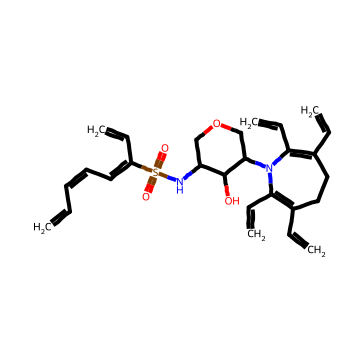 C=C/C=C\C=C(/C=C)S(=O)(=O)NC1COCC(N2C(C=C)=C(C=C)CCC(C=C)=C2C=C)C1O